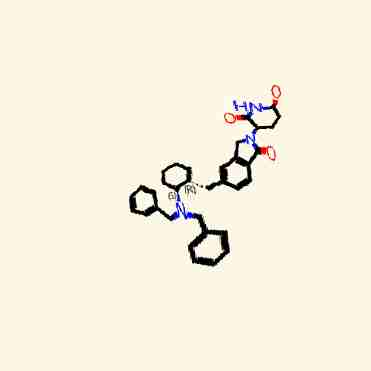 O=C1CCC(N2Cc3cc(C[C@H]4CCCC[C@@H]4N(Cc4ccccc4)Cc4ccccc4)ccc3C2=O)C(=O)N1